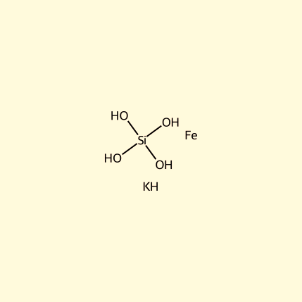 O[Si](O)(O)O.[Fe].[KH]